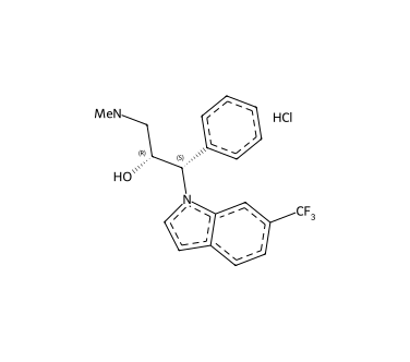 CNC[C@@H](O)[C@H](c1ccccc1)n1ccc2ccc(C(F)(F)F)cc21.Cl